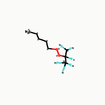 CCCCCOOC(F)(C(F)F)C(F)(F)F